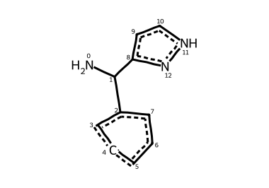 NC(c1c[c]ccc1)c1cc[nH]n1